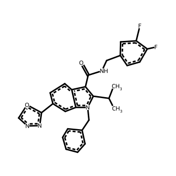 CC(C)c1c(C(=O)NCc2ccc(F)c(F)c2)c2ccc(-c3nnco3)cc2n1Cc1ccccc1